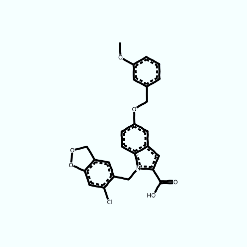 COc1cccc(COc2ccc3c(c2)cc(C(=O)O)n3Cc2cc3c(cc2Cl)OOC3)c1